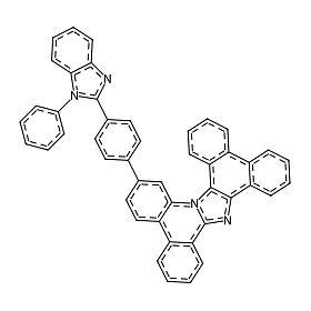 c1ccc(-n2c(-c3ccc(-c4ccc5c6ccccc6c6nc7c8ccccc8c8ccccc8c7n6c5c4)cc3)nc3ccccc32)cc1